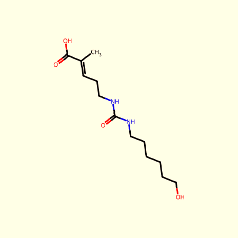 C/C(=C\CCNC(=O)NCCCCCCO)C(=O)O